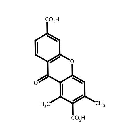 Cc1cc2oc3cc(C(=O)O)ccc3c(=O)c2c(C)c1C(=O)O